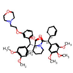 CCC(c1cccc(OCCN2CCOCC2)c1)[C@@]1(C(=O)O)[C@@H](c2ccc(OC)c(OC)c2)CCCN1C(=O)[C@H](c1cc(OC)c(OC)c(OC)c1)[C@@H]1C=CCCC1